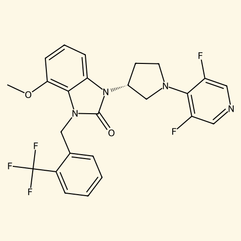 COc1cccc2c1n(Cc1ccccc1C(F)(F)F)c(=O)n2[C@@H]1CCN(c2c(F)cncc2F)C1